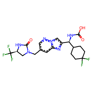 O=C(O)N[C@H](c1cn2ncc(CN3C[C@@H](C(F)(F)F)NC3=O)cc2n1)C1CCC(F)(F)CC1